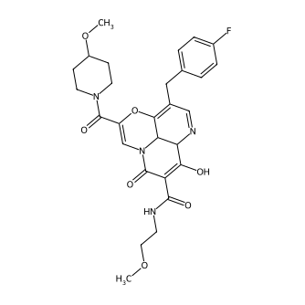 COCCNC(=O)C1=C(O)C2N=CC(Cc3ccc(F)cc3)=C3OC(C(=O)N4CCC(OC)CC4)=CN(C1=O)C32